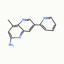 Cc1cc(N)nc2cc(-c3ccccn3)cnc12